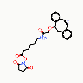 O=C(COC1Cc2ccccc2/C=C\c2ccccc21)NCCCCCC(=O)ON1C(=O)CCC1=O